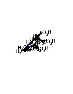 CCC[N+]1=C(/C=C/C=C/C=C2/N(CCCS(=O)(=O)O)c3ccc(S(=O)(=O)O)cc3C2(C)C)C(C)(CCCCCC(=O)NCCCNc2nc(NCCCCCC(=O)O)nc(NCCCS(=O)(=O)O)n2)c2cc(C)ccc21